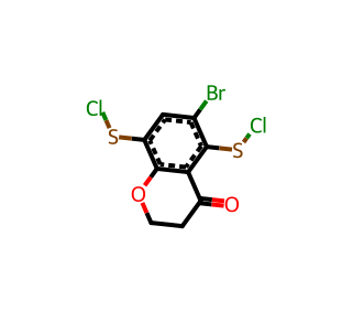 O=C1CCOc2c(SCl)cc(Br)c(SCl)c21